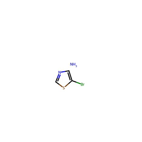 Brc1cncs1.N